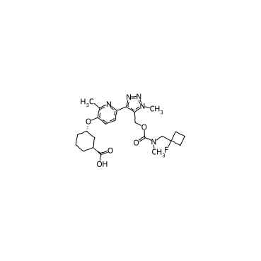 Cc1nc(-c2nnn(C)c2COC(=O)N(C)CC2(F)CCC2)ccc1O[C@H]1CCC[C@H](C(=O)O)C1